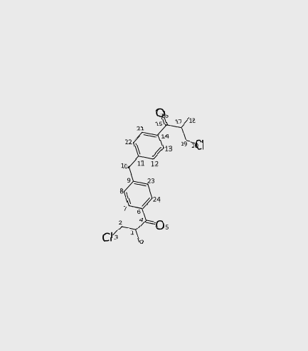 CC(CCl)C(=O)c1ccc(Cc2ccc(C(=O)C(C)CCl)cc2)cc1